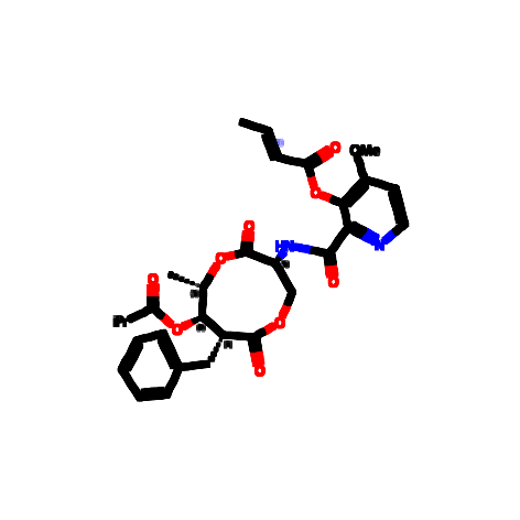 C/C=C/C(=O)Oc1c(OC)ccnc1C(=O)N[C@H]1COC(=O)[C@H](Cc2ccccc2)[C@@H](OC(=O)C(C)C)[C@H](C)OC1=O